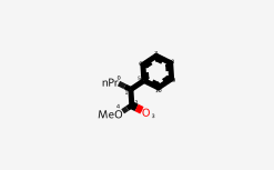 CCCC(C(=O)OC)c1ccccc1